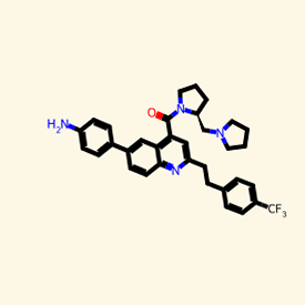 Nc1ccc(-c2ccc3nc(CCc4ccc(C(F)(F)F)cc4)cc(C(=O)N4CCC[C@H]4CN4CCCC4)c3c2)cc1